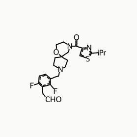 CC(C)c1nc(C(=O)N2CCOC3(CCN(Cc4ccc(F)c(CC=O)c4F)CC3)C2)cs1